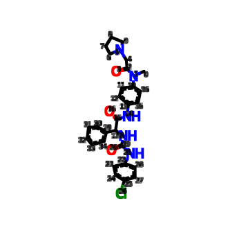 CN(C(=O)CN1CCCC1)c1ccc(NC(=O)C(NC(=O)Nc2ccc(Cl)cc2)c2ccccc2)cc1